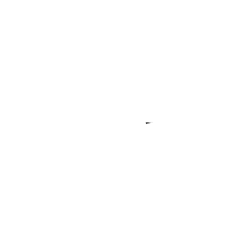 CCc1cccc(C(=O)N[C@H]2CCOC2=O)c1